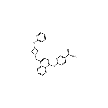 NC(=O)c1ccc(Oc2ccc(CN3CC(Oc4ccccc4)C3)c3ccccc23)nc1